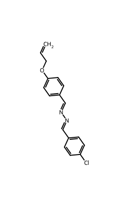 C=CCOc1ccc(C=NN=Cc2ccc(Cl)cc2)cc1